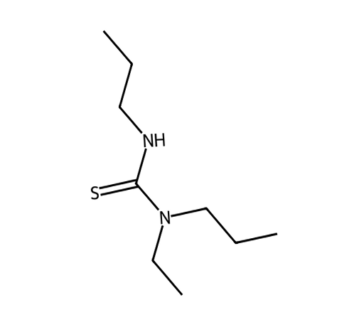 CCCNC(=S)N(CC)CCC